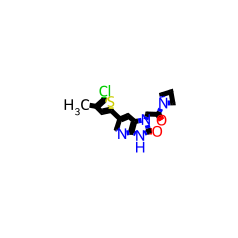 Cc1cc(-c2cnc3[nH]c(=O)n(CC(=O)N4CCC4)c3c2)sc1Cl